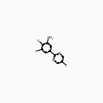 Nc1cc(-c2ncc(F)cn2)cc(F)c1F